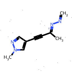 C=N/N=C(\C)C#Cc1cnn(C)c1